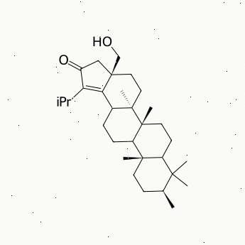 CC(C)C1=C2C3CCC4[C@@]5(C)CC[C@H](C)C(C)(C)C5CC[C@@]4(C)[C@]3(C)CC[C@@]2(CO)CC1=O